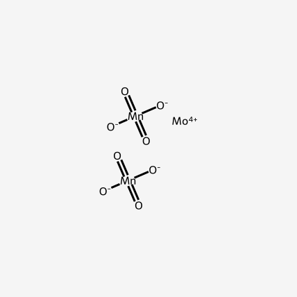 [Mo+4].[O]=[Mn](=[O])([O-])[O-].[O]=[Mn](=[O])([O-])[O-]